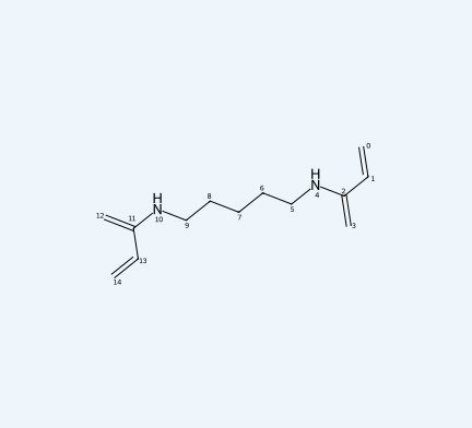 C=CC(=C)NCCCCCNC(=C)C=C